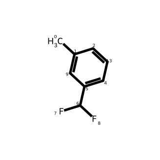 Cc1c[c]cc(C(F)F)c1